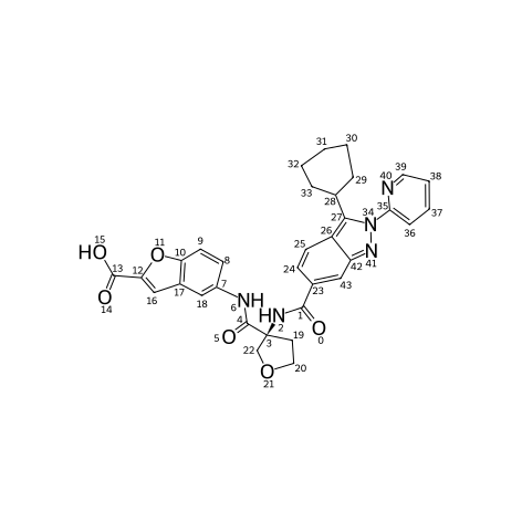 O=C(N[C@@]1(C(=O)Nc2ccc3oc(C(=O)O)cc3c2)CCOC1)c1ccc2c(C3CCCCC3)n(-c3ccccn3)nc2c1